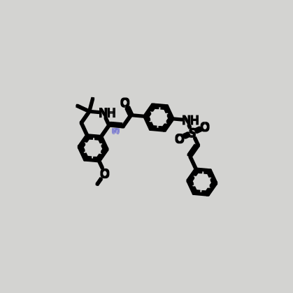 COc1ccc2c(c1)/C(=C/C(=O)c1ccc(NS(=O)(=O)C=Cc3ccccc3)cc1)NC(C)(C)C2